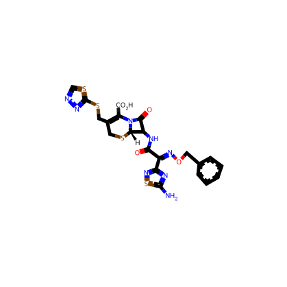 Nc1nc(C(=NOCc2ccccc2)C(=O)NC2C(=O)N3C(C(=O)O)=C(CSc4nncs4)CS[C@@H]23)ns1